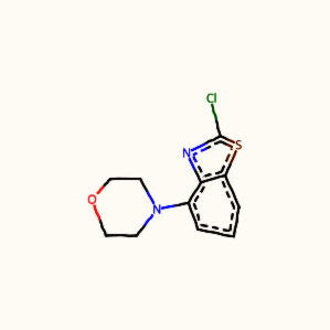 Clc1nc2c(N3CCOCC3)cccc2s1